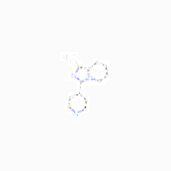 Cc1nc(-c2ccncc2)n2ccccc12